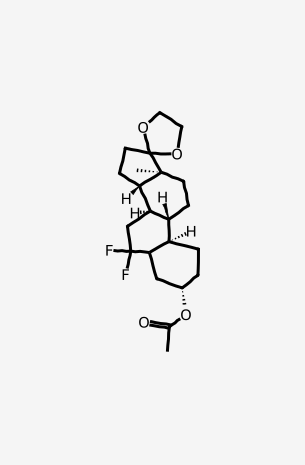 CC(=O)O[C@H]1CC[C@H]2C(C1)C(F)(F)C[C@@H]1[C@@H]2CC[C@@]2(C)[C@H]1CCC21OCCO1